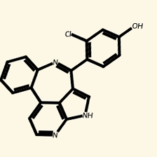 Oc1ccc(C2=Nc3ccccc3-c3ccnc4[nH]cc2c34)c(Cl)c1